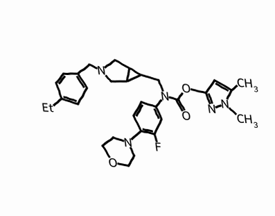 CCc1ccc(CN2CC3C(C2)C3CN(C(=O)Oc2cc(C)n(C)n2)c2ccc(N3CCOCC3)c(F)c2)cc1